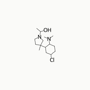 CC(O)N1CCC(C)(C2CC(Cl)CCC2N(C)C)C1